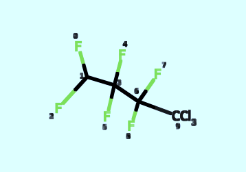 FC(F)C(F)(F)C(F)(F)C(Cl)(Cl)Cl